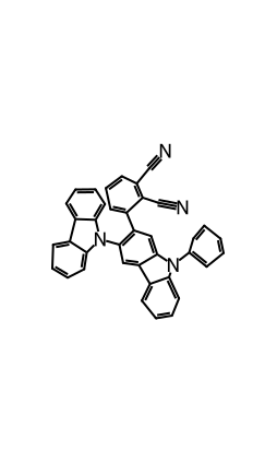 N#Cc1cccc(-c2cc3c(cc2-n2c4ccccc4c4ccccc42)c2ccccc2n3-c2ccccc2)c1C#N